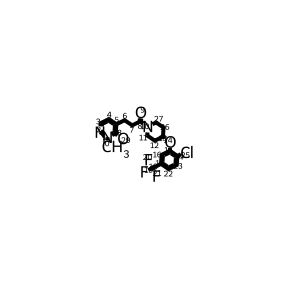 Cn1nccc(CCC(=O)N2CCC(Oc3cc(C(F)(F)F)ccc3Cl)CC2)c1=O